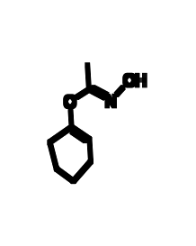 CC(=NO)OC1=CCCCC1